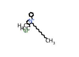 CCCCCCCCCCCCc1c(CC)c(C)cc[n+]1Cc1ccccc1.[Cl-]